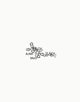 COc1cccc(CN(C(=O)c2cc(-c3cc(NC(C)=O)ccc3C(=O)N3Cc4ccccc4C[C@H]3CN3CCOCC3)n(C)c2C)c2ccc(OCOCC[Si](C)(C)C)cc2)c1C